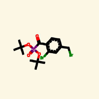 CC(C)(C)OP(=O)(OC(C)(C)C)C(=O)c1ccc(CBr)cc1Br